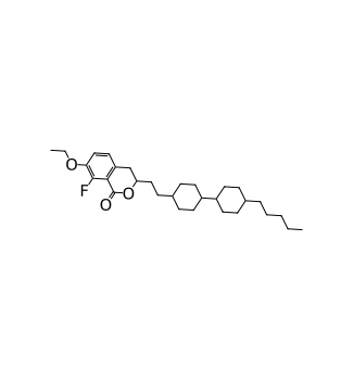 CCCCCC1CCC(C2CCC(CCC3Cc4ccc(OCC)c(F)c4C(=O)O3)CC2)CC1